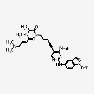 CCCNc1nc(Nc2ccc3c(cnn3CCC)c2)ncc1C#CCCCNC(=O)[C@H](C)N(C)C(=O)/C=C/CN(C)C